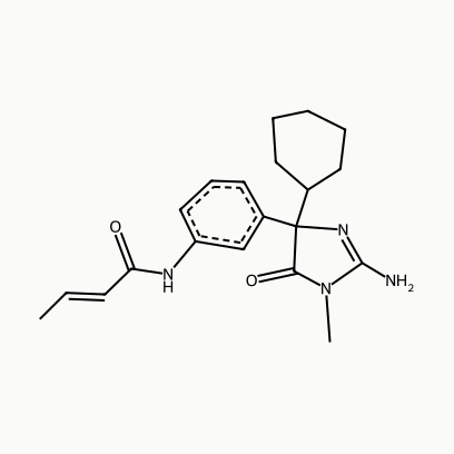 CC=CC(=O)Nc1cccc(C2(C3CCCCC3)N=C(N)N(C)C2=O)c1